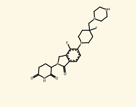 O=C1CCC(N2Cc3c(ccc(N4CCC(F)(CN5CCNCC5)CC4)c3F)C2=O)C(=O)N1